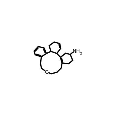 NC1CCC2=C(C1)C1C=CCCC1c1ccccc1CCCCCC2